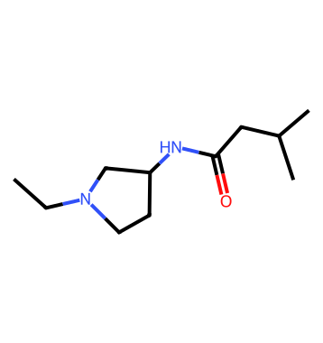 CCN1CCC(NC(=O)CC(C)C)C1